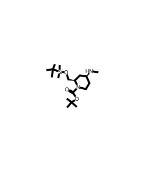 CN[C@H]1CCN(C(=O)OC(C)(C)C)[C@@H](CO[Si](C)(C)C(C)(C)C)C1